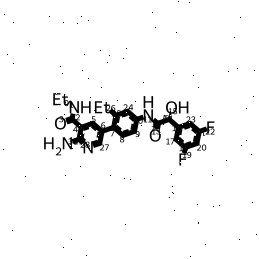 CCNC(=O)c1cc(-c2ccc(NC(=O)[C@H](O)c3cc(F)cc(F)c3)cc2CC)cnc1N